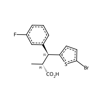 C[C@@H](C(=O)O)[C@@H](c1cccc(F)c1)c1ccc(Br)s1